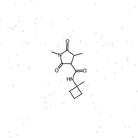 CC1C(=O)N(C)C(=O)C1C(=O)NC1(C)CCC1